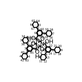 O=c1n(C(O)c2cc(C3CCCCC3)cc(C3CCCCC3)c2)c(=O)n(C(O)c2cc(C3CCCCC3)cc(C3CCCCC3)c2)c(=O)n1C(O)c1cc(C2CCCCC2)cc(C2CCCCC2)c1